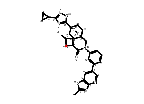 Cc1nc2ncc(-c3cccc(N(CC45CCC(c6nc(C7CC7)no6)(CC4)CC5)C(=O)C45CC(F)(C4)C5)c3)cc2s1